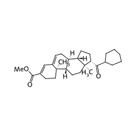 COC(=O)C1=CC2=CC[C@H]3[C@@H]4CC[C@H](C(=O)C5CCCCC5)[C@@]4(C)CC[C@@H]3[C@@]2(C)CC1